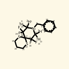 [2H]C1([2H])N(Cc2ccccc2)C([2H])([2H])C(F)(F)C2(SCCCS2)C1(F)F